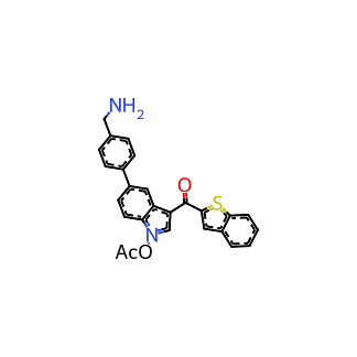 CC(=O)On1cc(C(=O)c2cc3ccccc3s2)c2cc(-c3ccc(CN)cc3)ccc21